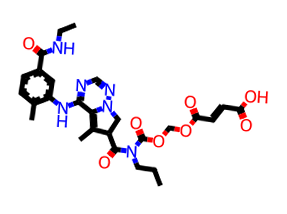 CCCN(C(=O)OCOC(=O)/C=C/C(=O)O)C(=O)C1CN2N=CN=C(Nc3cc(C(=O)NCC)ccc3C)C2=C1C